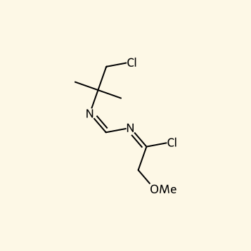 COC/C(Cl)=N\C=N/C(C)(C)CCl